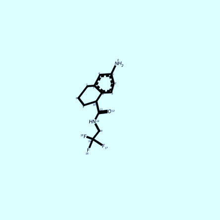 Nc1ccc2c(c1)CCCC2C(=O)NCC(F)(F)F